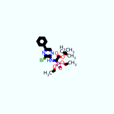 CCOP(=O)(OCC)C(Nc1ncc(-c2ccccc2)nc1Br)C(=O)OC(C)(C)C